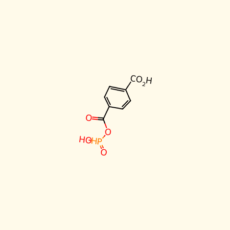 O=C(O)c1ccc(C(=O)O[PH](=O)O)cc1